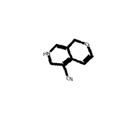 N#CC1=C2C=COCC2=CNC1